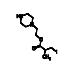 CC(CI)C(=O)OCCN1CCNCC1